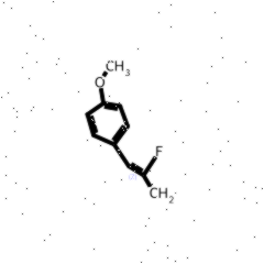 [CH2]/C(F)=C/c1ccc(OC)cc1